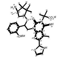 COc1ccccc1C(Cn1c(=O)n(C(C)(C)C(=O)O)c(=N)c2c(C)c(C3NC=CO3)sc21)O[C@H]1C[C@@](C)(N)C(C)(C)C1(C)C